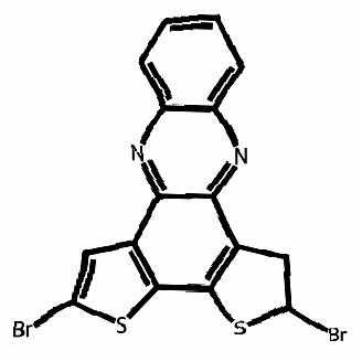 Brc1cc2c(s1)c1c(c3nc4ccccc4nc32)CC(Br)S1